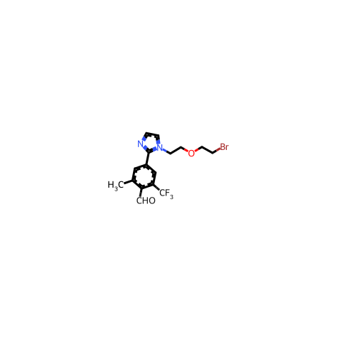 Cc1cc(-c2nccn2CCOCCBr)cc(C(F)(F)F)c1C=O